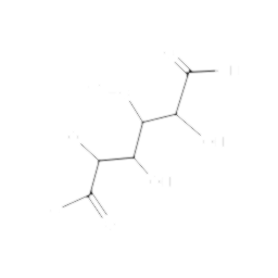 O=C(O)C(O)C(O)C(O)C(O)C(=O)O.[Cr]